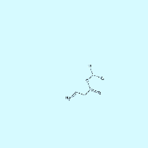 C=CCC(=O)OC(Cl)Cl